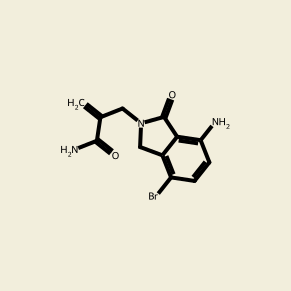 C=C(CN1Cc2c(Br)ccc(N)c2C1=O)C(N)=O